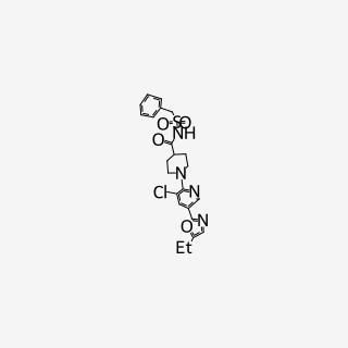 CCc1cnc(-c2cnc(N3CCC(C(=O)NS(=O)(=O)Cc4ccccc4)CC3)c(Cl)c2)o1